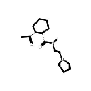 CC(=O)[C@@H]1CCCC[C@@H]1C(=O)N(I)CCN1CCCC1